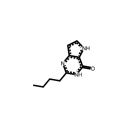 CCCCc1nc2cc[nH]c2c(=O)[nH]1